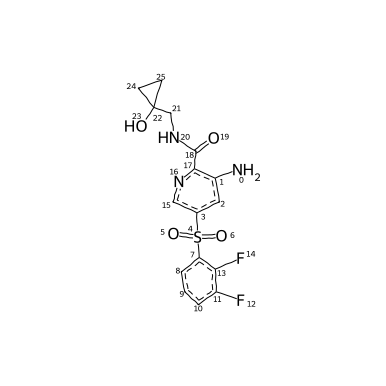 Nc1cc(S(=O)(=O)c2cccc(F)c2F)cnc1C(=O)NCC1(O)CC1